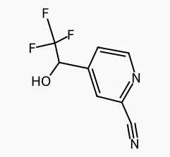 N#Cc1cc(C(O)C(F)(F)F)ccn1